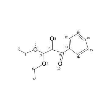 CCOC(OCC)C(=O)C(=O)c1ccccc1